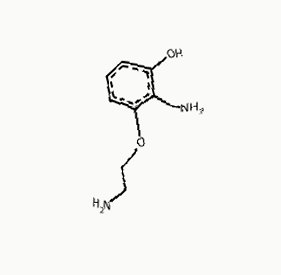 NCCOc1cccc(O)c1N